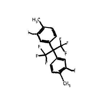 Cc1ccc(C(c2ccc(C)c(I)c2)(C(F)(F)F)C(F)(F)F)cc1I